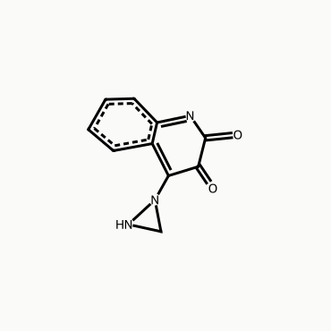 O=C1N=c2ccccc2=C(N2CN2)C1=O